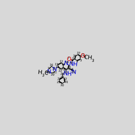 COc1ccc(C(=O)Nc2nc3ccc(N4CCN(C)CC4)cc3c(NCc3ccccc3)c2C#N)cc1